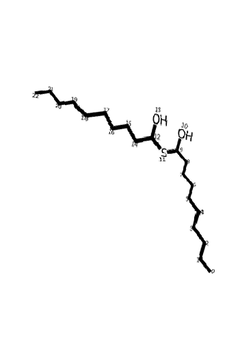 CCCCCCCCCC(O)SC(O)CCCCCCCCC